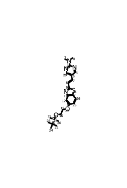 CN(C)c1ncc(/C=C/c2nc3cc(OCCO[Si](C)(C)C(C)(C)C)ccc3s2)cn1